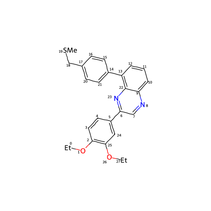 CCOc1ccc(-c2cnc3cccc(-c4ccc(CSC)cc4)c3n2)cc1OCC